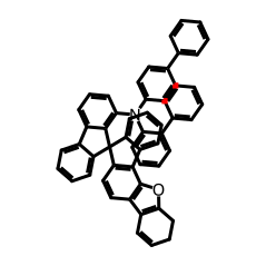 C1=Cc2c(oc3c4c(ccc23)C2(c3ccccc3-c3cccc(N(c5ccc(-c6ccccc6)cc5)c5ccccc5-c5ccccc5)c32)c2ccccc2-4)CC1